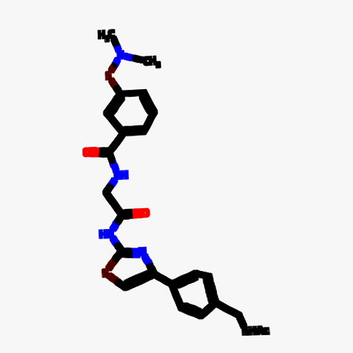 CC(=O)NCc1ccc(-c2csc(NC(=O)CNC(=O)c3cccc(SN(C)C)c3)n2)cc1